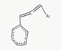 CC(=O)C=C=Cc1ccccc1